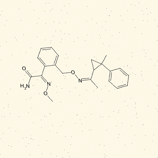 CON=C(C(N)=O)c1ccccc1CON=C(C)C1CC1(C)c1ccccc1